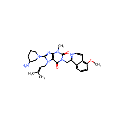 COc1cccc2c(Cn3c(=O)c4c(nc(N5CCCC(N)C5)n4CC=C(C)C)n(C)c3=O)nccc12